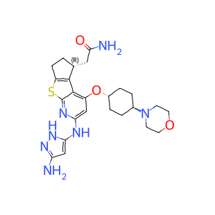 NC(=O)C[C@H]1CCc2sc3nc(Nc4cc(N)n[nH]4)cc(O[C@H]4CC[C@H](N5CCOCC5)CC4)c3c21